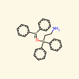 NCC[Si](O[SiH](c1ccccc1)c1ccccc1)(c1ccccc1)c1ccccc1